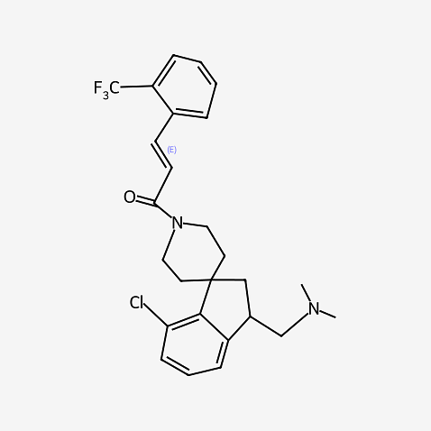 CN(C)CC1CC2(CCN(C(=O)/C=C/c3ccccc3C(F)(F)F)CC2)c2c(Cl)cccc21